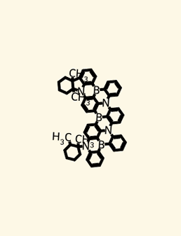 CC1CCCCC1(C)N1c2ccccc2B2c3ccccc3N3c4cccc5c4B(c4ccc1c2c43)c1ccc2c3c1N5c1ccccc1B3c1cccc3c1N2C1(C)CCCCC31C